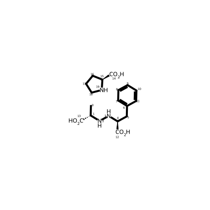 C[C@H](NN[C@@H](Cc1ccccc1)C(=O)O)C(=O)O.O=C(O)[C@@H]1CCCN1